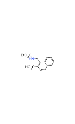 CCOC(=O)NCc1c(C(=O)O)ccc2ccccc12